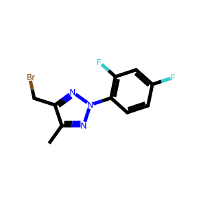 Cc1nn(-c2ccc(F)cc2F)nc1CBr